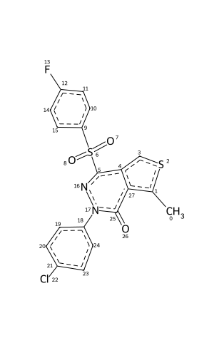 Cc1scc2c(S(=O)(=O)c3ccc(F)cc3)nn(-c3ccc(Cl)cc3)c(=O)c12